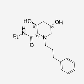 CCNC(=O)[C@@H]1[C@@H](O)C[C@H](O)CN1CCCc1ccccc1